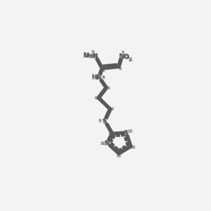 CNC(=C[N+](=O)[O-])NCCCSc1nccs1